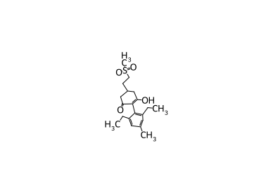 CCc1cc(C)cc(CC)c1C1=C(O)CC(CCS(C)(=O)=O)CC1=O